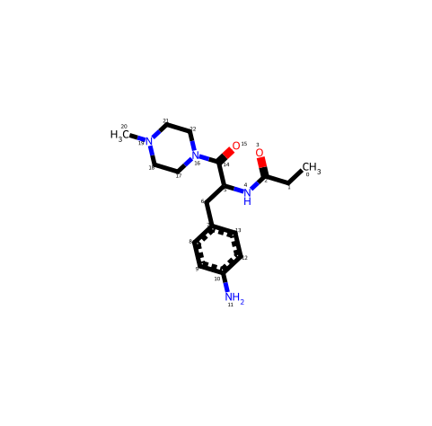 CCC(=O)NC(Cc1ccc(N)cc1)C(=O)N1CCN(C)CC1